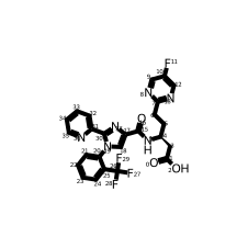 O=C(O)C[C@H](CCc1ncc(F)cn1)NC(=O)c1cn(-c2ccccc2C(F)(F)F)c(-c2ccccn2)n1